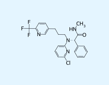 CNC(=O)[C@H](c1ccccc1)N(CCCc1ccc(C(F)(F)F)nc1)c1cccc(Cl)n1